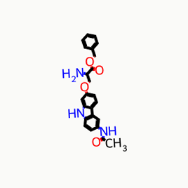 CC(=O)Nc1ccc2[nH]c3cc(OCC(N)C(=O)OCc4ccccc4)ccc3c2c1